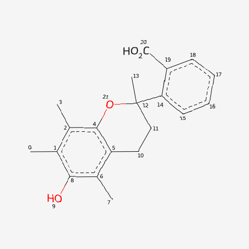 Cc1c(C)c2c(c(C)c1O)CCC(C)(c1ccccc1C(=O)O)O2